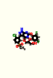 CS(=O)(=O)c1ccc(Cl)c(-c2n[nH]c3nc(Oc4ccc(F)cc4F)nc(OC[C@@H](O)CO)c23)c1